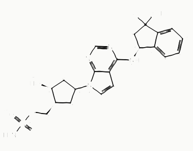 CC1(C)C[C@H](Nc2ncnc3c2ccn3C2C[C@@H](COS(N)(=O)=O)[C@@H](O)C2)c2ccccc21